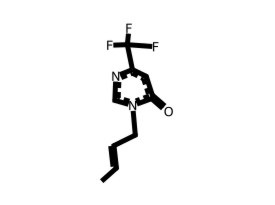 CC=CCn1cnc(C(F)(F)F)cc1=O